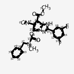 [C-]#[N+]c1c(C(=O)OC)c2[nH]c(-c3cc(F)cc(F)c3)nn2c1OC(=O)N(C)Cc1ccccc1